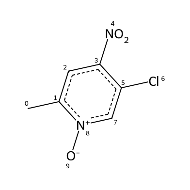 Cc1cc([N+](=O)[O-])c(Cl)c[n+]1[O-]